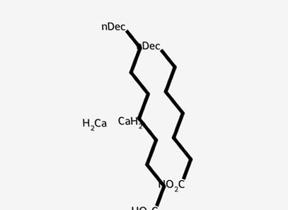 CCCCCCCCCCCCCCCC(=O)O.CCCCCCCCCCCCCCCCCC(=O)O.[CaH2].[CaH2]